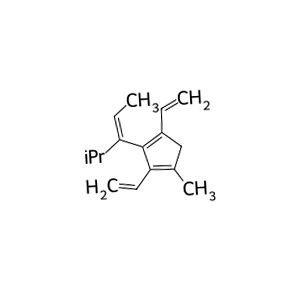 C=CC1=C(/C(=C\C)C(C)C)C(C=C)=C(C)C1